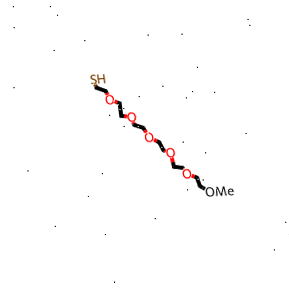 COCCOCCOCCOCCOCCOCCS